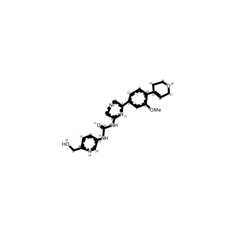 COc1cc(-c2cncc(NC(=O)Nc3ccc(CO)nc3)n2)ccc1C1=CCOCC1